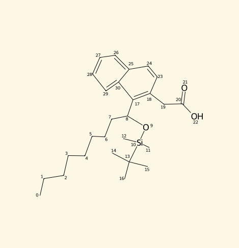 CCCCCCCCC(O[Si](C)(C)C(C)(C)C)c1c(CC(=O)O)ccc2ccccc12